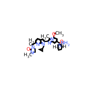 COc1cc(C(=O)N2[C@H]3CC[C@@H]2[C@H](N)C3)cc2nc(-c3cc4ccc([C@@H](C)N5CCN(C)C5=O)nc4n3CC3CC3)c(C)n12